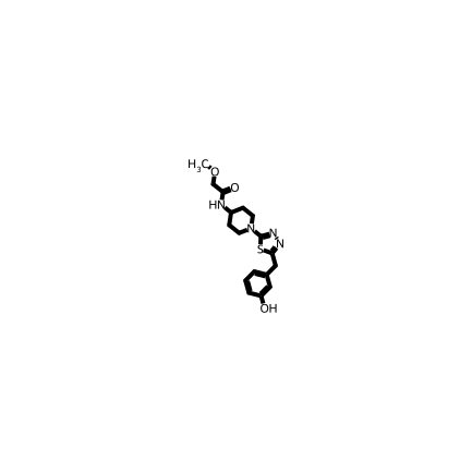 COCC(=O)NC1CCN(c2nnc(Cc3cccc(O)c3)s2)CC1